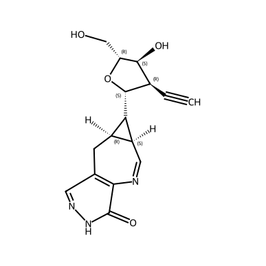 C#C[C@@H]1[C@H](O)[C@@H](CO)O[C@H]1C1[C@H]2C=Nc3c(cn[nH]c3=O)C[C@@H]12